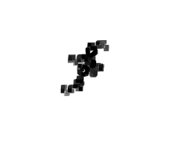 CCS(=O)(=O)c1cc(-n2cnc(C(F)(F)F)c2)cnc1-c1nc2cc(C(F)(F)F)ncc2n1C